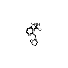 O=c1[nH]nc2ccnc(C[C@H]3CCCO3)n12